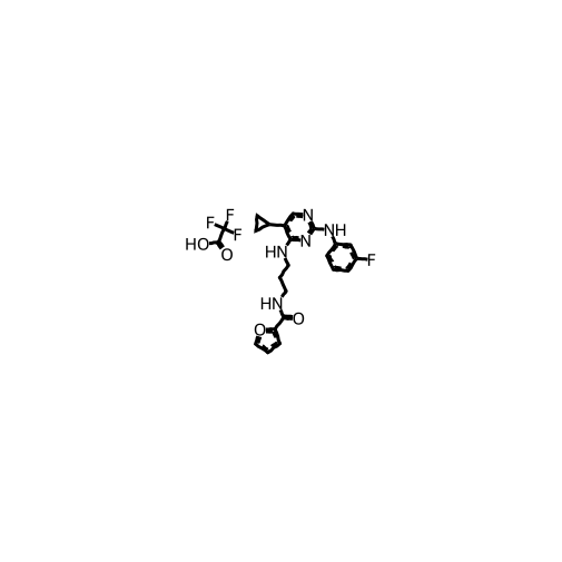 O=C(NCCCNc1nc(Nc2cccc(F)c2)ncc1C1CC1)c1ccco1.O=C(O)C(F)(F)F